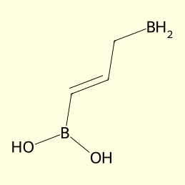 BC/C=C/B(O)O